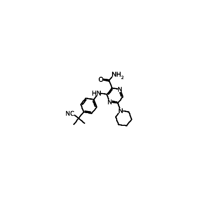 CC(C)(C#N)c1ccc(Nc2nc(N3CCCCC3)cnc2C(N)=O)cc1